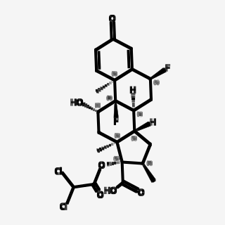 C[C@@H]1C[C@H]2[C@@H]3C[C@H](F)C4=CC(=O)C=C[C@]4(C)[C@@]3(F)[C@@H](O)C[C@]2(C)[C@]1(OC(=O)C(Cl)Cl)C(=O)O